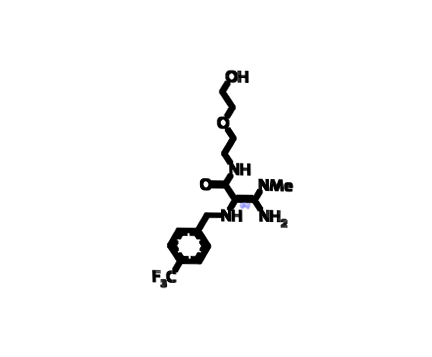 CN/C(N)=C(/NCc1ccc(C(F)(F)F)cc1)C(=O)NCCOCCO